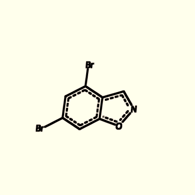 Brc1cc(Br)c2cnoc2c1